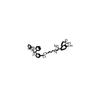 O=C(NC(c1ccccc1)c1cccc(C(=O)OCCCCCNC[C@@H](O)c2ccc(O)c3[nH]c(=O)ccc23)c1)O[C@H]1CN2CCC1CC2